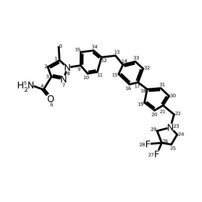 Cc1cc(C(N)=O)nn1-c1ccc(Cc2ccc(-c3ccc(CN4CCC(F)(F)C4)cc3)cc2)cc1